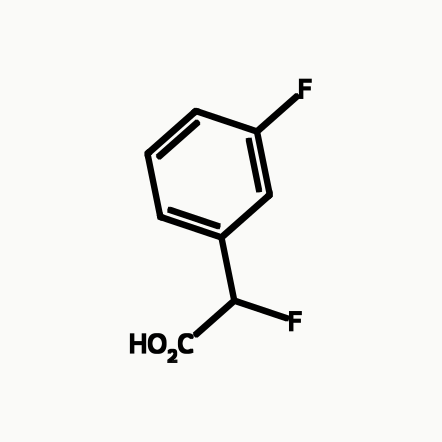 O=C(O)C(F)c1cccc(F)c1